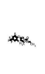 CCNC(=O)n1nc(Oc2c(F)cc(C(F)(F)F)cc2F)cc1C